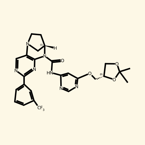 CC1(C)OC[C@@H](COc2cc(NC(=O)N3c4nc(-c5cccc(C(F)(F)F)c5)ncc4N4CC[C@H]3C4)ncn2)O1